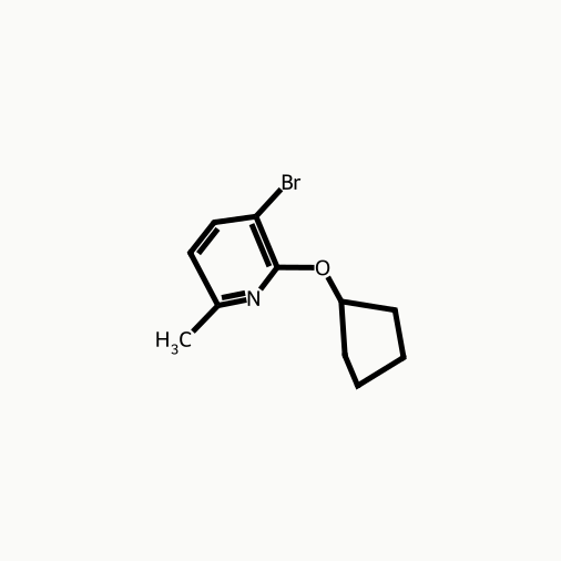 Cc1ccc(Br)c(OC2CCCC2)n1